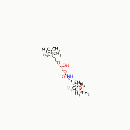 CSOC(C)(C)S(C)(C)CCCNC(=O)OCC(O)COCCCS(C)(C)C(C)C